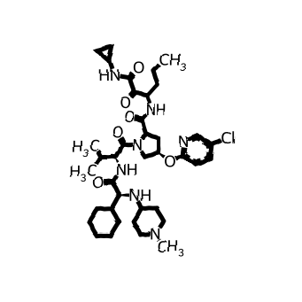 CCCC(NC(=O)C1C[C@@H](Oc2ccc(Cl)cn2)CN1C(=O)[C@H](NC(=O)[C@@H](NC1CCN(C)CC1)C1CCCCC1)C(C)C)C(=O)C(=O)NC1CC1